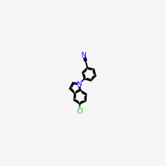 N#Cc1cccc(-n2ccc3cc(Cl)ccc32)c1